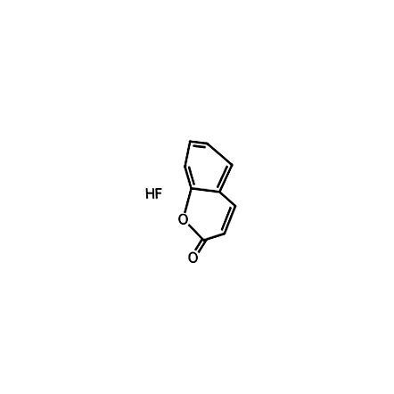 F.O=c1ccc2ccccc2o1